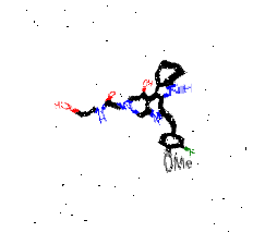 COc1ccc(Cc2nc3c(c4c2[nH]c2ccccc24)C(O)CN(CC(=O)NCCO)C3)cc1F